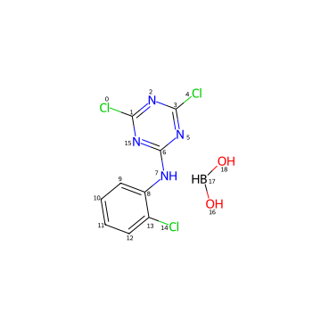 Clc1nc(Cl)nc(Nc2ccccc2Cl)n1.OBO